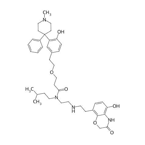 CC(C)CCN(CCNCCc1ccc(O)c2c1OCC(=O)N2)C(=O)CCOCCc1ccc(O)c(C2(c3ccccc3)CCN(C)CC2)c1